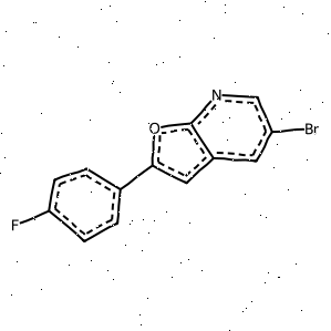 Fc1ccc(-c2cc3cc(Br)cnc3o2)cc1